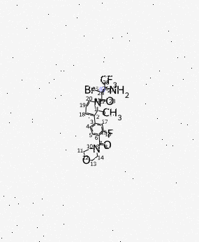 CC1C(c2ccc(C(=O)N3CCOCC3)c(F)c2)=CC=CN1C(=O)/C(Br)=C(\N)C(F)(F)F